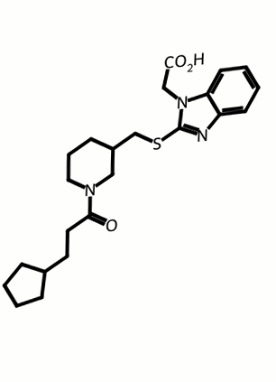 O=C(O)Cn1c(SCC2CCCN(C(=O)CCC3CCCC3)C2)nc2ccccc21